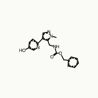 Cn1ncc(-c2ccc(O)cn2)c1CNC(=O)OCc1ccccc1